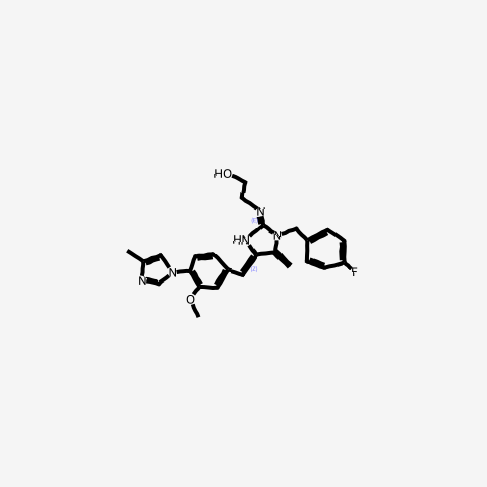 C=c1/c(=C/c2ccc(-n3cnc(C)c3)c(OC)c2)[nH]/c(=N\CCO)n1Cc1ccc(F)cc1